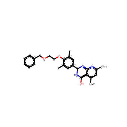 COc1cc(OC)c2c(n1)=NC(c1cc(C)c(OCCOCc3ccccc3)c(C)c1)NC=2O